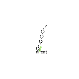 C=CCCC1CCC(C2CCC(c3ccc(CCc4ccc(CCCCC)c(F)c4F)cc3)CC2)CC1